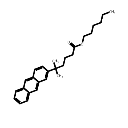 CCCCCCOC(=O)CCCC(C)(C)c1ccc2cc3ccccc3cc2c1